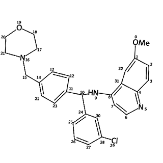 COc1ccc2nccc(NC(c3ccc(CN4CCOCC4)cc3)c3cccc(Cl)c3)c2c1